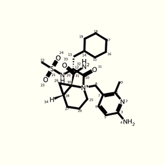 Cc1nc(N)ccc1C[N+]1(C(=O)[C@@H](CC2CCCCC2)NS(C)(=O)=O)CCC[C@@H]2C[C@@]21C(N)=O